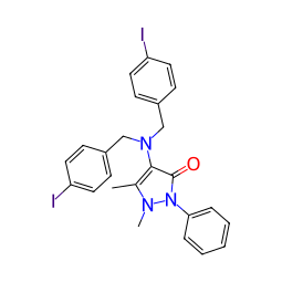 Cc1c(N(Cc2ccc(I)cc2)Cc2ccc(I)cc2)c(=O)n(-c2ccccc2)n1C